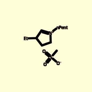 CCCCC[N+]1=CC(CC)CC1.CS(=O)(=O)[O-]